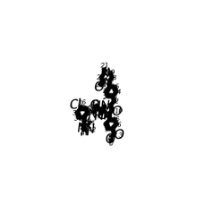 COC(=O)c1ccc(NC(=O)C(Cc2ccc(N3CCN(C)CC3=O)cc2)NC(=O)C(=O)Nc2cc(Cl)ccc2-n2cnnn2)cc1